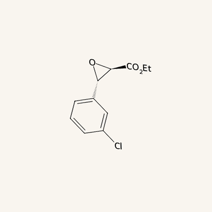 CCOC(=O)[C@@H]1O[C@H]1c1cccc(Cl)c1